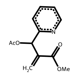 C=C(C(=O)OC)C(OC(C)=O)c1ccccn1